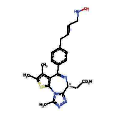 Cc1sc2c(c1C)C(c1ccc(C/C=C/CNO)cc1)=N[C@H](CC(=O)O)c1nnc(C)n1-2